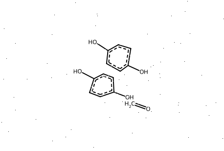 C=O.Oc1ccc(O)cc1.Oc1ccc(O)cc1